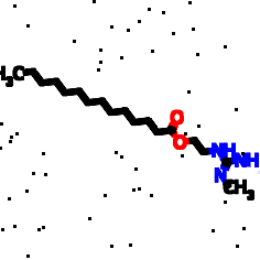 CCCCCCCCCCCCCC(=O)OCCNC(N)=NC